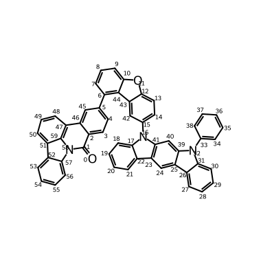 O=c1c2ccc(-c3cccc4oc5ccc(-n6c7ccccc7c7cc8c9ccccc9n(-c9ccccc9)c8cc76)cc5c34)cc2c2cccc3c4ccccc4n1c23